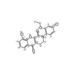 CCOc1cc(Cl)ccc1N1CCc2c(oc3c(Cl)cccc3c2=O)C1=O